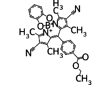 CCOC(=O)c1ccc(C2=C3C(C)=C(C#N)C(C)=[N+]3[B-]3(Oc4ccccc4O3)n3c(C)c(C#N)c(C)c32)cc1